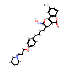 Cc1ccc2oc(=O)c(CC(CCCCc3ccc(OCCCN4CCCCC4)cc3)C(=O)NO)cc2c1